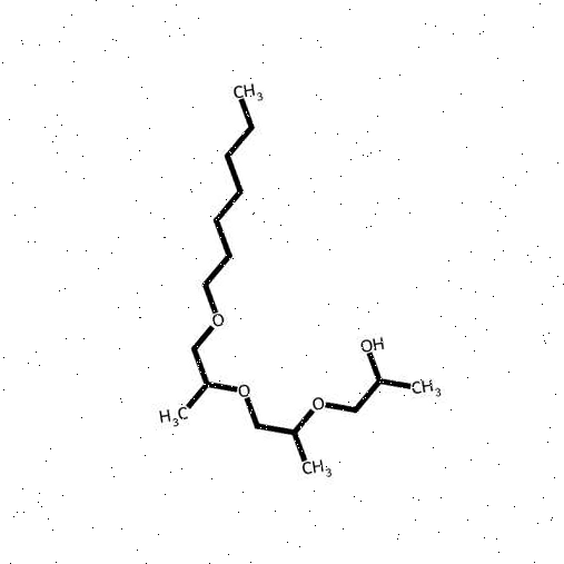 CCCCCCCOCC(C)OCC(C)OCC(C)O